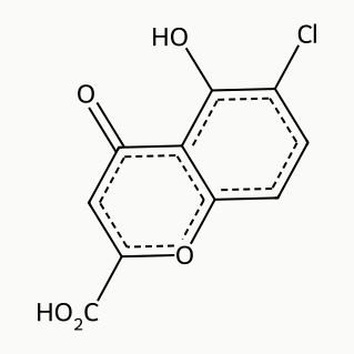 O=C(O)c1cc(=O)c2c(O)c(Cl)ccc2o1